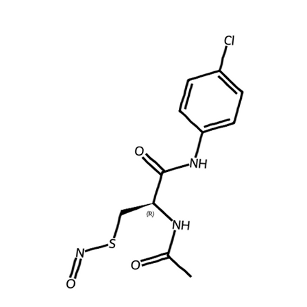 CC(=O)N[C@@H](CSN=O)C(=O)Nc1ccc(Cl)cc1